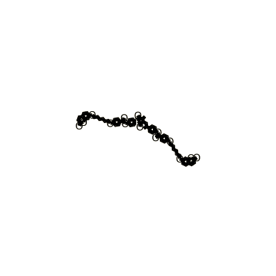 CC(CC1C(=O)N(c2ccc(OC(=O)c3ccc(OCCCCCCOc4ccc5ccc(=O)oc5c4)cc3)cc2)C(=O)C1C)c1ccc(OC(=O)c2ccc(OCCCCCCOc3ccc4ccc(=O)oc4c3)cc2)cc1